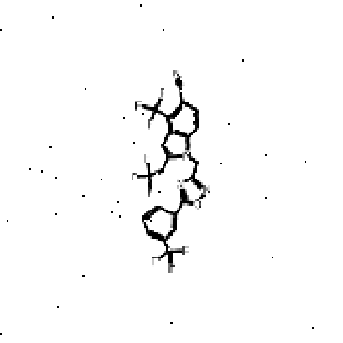 N#Cc1ccc2c(cc(CC(F)(F)F)n2Cc2noc(-c3cccc(C(F)(F)F)c3)n2)c1C(F)(F)F